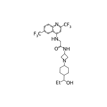 CCC(O)C1CCC(N2CC(NC(=O)CNc3cc(C(F)(F)F)nc4ccc(C(F)(F)F)cc34)C2)CC1